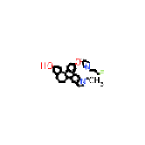 CCN1CCc2cc(C3=C(c4ccc(O[C@H]5CCN(CCCF)C5)cc4)c4ccc(O)cc4CCC3)ccc21